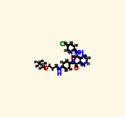 CC(C)(C)[Si](C)(C)OCCCNc1ccc(NC(=O)c2nccnc2C(=O)Nc2ccc(Cl)cn2)cc1